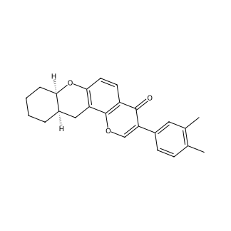 Cc1ccc(-c2coc3c4c(ccc3c2=O)O[C@@H]2CCCC[C@@H]2C4)cc1C